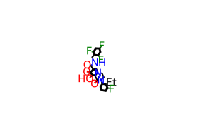 CCc1c(F)cccc1N1CCn2cc(C(=O)NCc3c(F)cc(F)cc3F)c(=O)c(O)c2C1=O